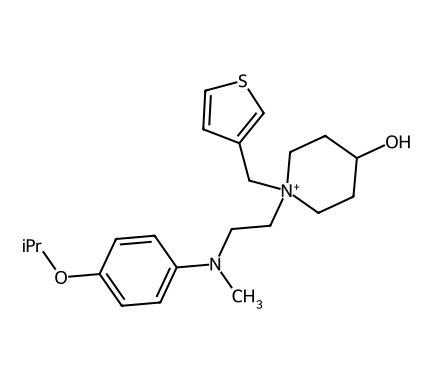 CC(C)Oc1ccc(N(C)CC[N+]2(Cc3ccsc3)CCC(O)CC2)cc1